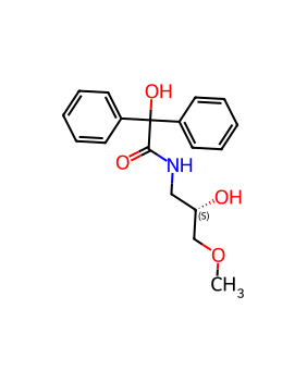 COC[C@@H](O)CNC(=O)C(O)(c1ccccc1)c1ccccc1